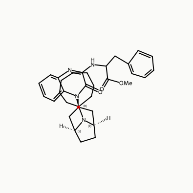 COC(=O)C(Cc1ccccc1)Nc1nc2ccccc2n([C@H]2C[C@H]3CC[C@@H](C2)N3C2CCCCCCC2)c1=O